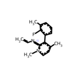 C=C/N=c1/c(-c2cccc(C)c2F)c(C)ccn1C